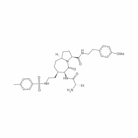 CC[C@H](N)C(=O)N[C@@H]1C(=O)N2[C@@H](CC[C@@H]1CCNS(=O)(=O)c1ccc(C)cc1)CC[C@H]2C(=O)NCCc1ccc(OC)cc1